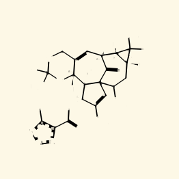 CC1=CC23C(=O)[C@@H](C=C4COC(C)(C)O[C@H]4[C@]2(O)[C@H]1OC(=O)c1nonc1C)[C@H]1[C@@H](CC3C)C1(C)C